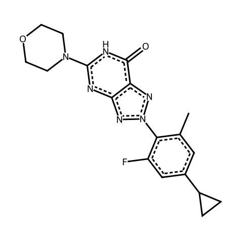 Cc1cc(C2CC2)cc(F)c1-n1nc2nc(N3CCOCC3)[nH]c(=O)c2n1